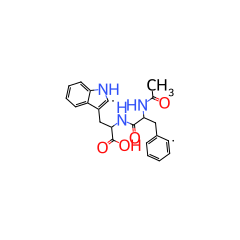 CC(=O)NC(Cc1[c]cccc1)C(=O)NC(Cc1[c][nH]c2ccccc12)C(=O)O